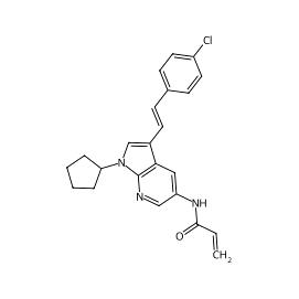 C=CC(=O)Nc1cnc2c(c1)c(/C=C/c1ccc(Cl)cc1)cn2C1CCCC1